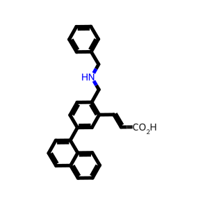 O=C(O)C=Cc1cc(-c2cccc3ccccc23)ccc1CNCc1ccccc1